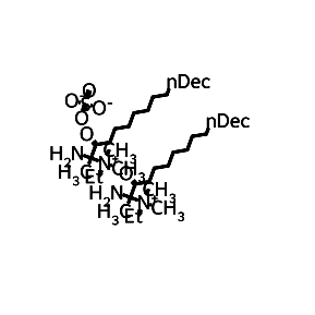 CCCCCCCCCCCCCCCCCC(=O)C(C)(N)[N+](C)(C)CC.CCCCCCCCCCCCCCCCCC(=O)C(C)(N)[N+](C)(C)CC.O=S(=O)([O-])[O-]